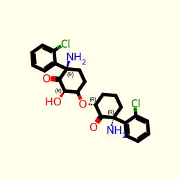 N[C@@]1(c2ccccc2Cl)CCC[C@@H](OC2CC[C@@](N)(c3ccccc3Cl)C(=O)[C@@H]2O)C1=O